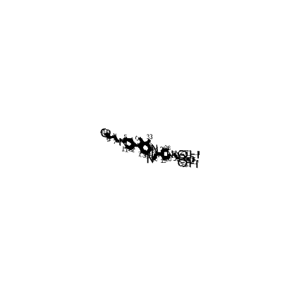 Cc1c(-c2cc[n+](CCC=O)cc2)cc2ncc(-c3cc[n+](CCP(=O)(O)O)cc3)nc2c1C